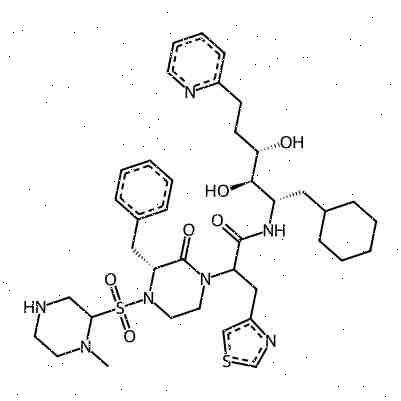 CN1CCNCC1S(=O)(=O)N1CCN(C(Cc2cscn2)C(=O)N[C@@H](CC2CCCCC2)[C@@H](O)[C@@H](O)CCc2ccccn2)C(=O)[C@H]1Cc1ccccc1